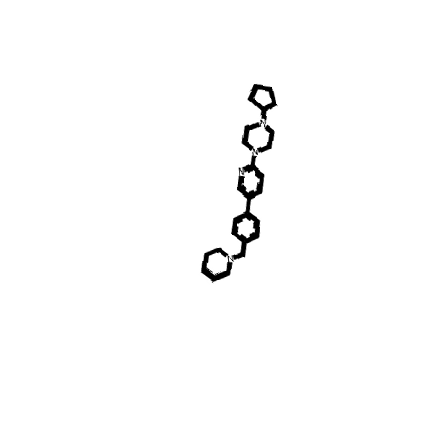 c1cc(-c2ccc(N3CCN(C4CCCC4)CC3)nc2)ccc1CN1CCCCC1